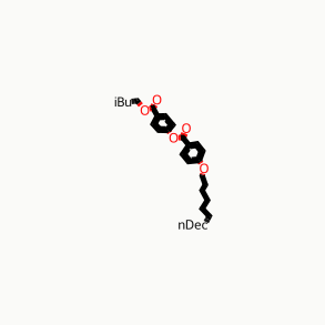 CCCCCCCCCCCCCCCCOc1ccc(C(=O)Oc2ccc(C(=O)OCC(C)CC)cc2)cc1